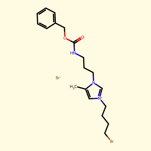 Cc1c[n+](CCCCBr)cn1CCCNC(=O)OCc1ccccc1.[Br-]